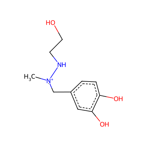 C[N+](Cc1ccc(O)c(O)c1)NCCO